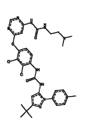 Cc1ccc(-n2nc(C(C)(C)C)cc2NC(=O)Nc2ccc(Oc3cc(NC(=O)NCCN(C)C)ncn3)c(Cl)c2Cl)cc1